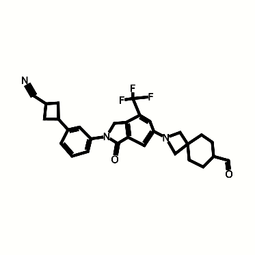 N#CC1CC(c2cccc(N3Cc4c(cc(N5CC6(CCC(C=O)CC6)C5)cc4C(F)(F)F)C3=O)c2)C1